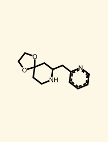 c1ccc(CC2CC3(CCN2)OCCO3)nc1